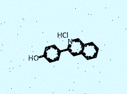 Cl.Oc1ccc(-c2cc3ccccc3cn2)cc1